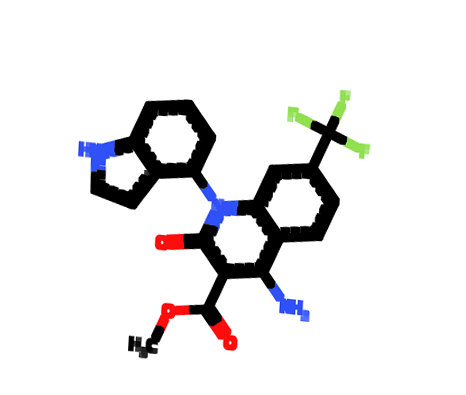 COC(=O)c1c(N)c2ccc(C(F)(F)F)cc2n(-c2cccc3[nH]ccc23)c1=O